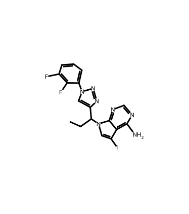 CCC(c1cn(-c2cccc(F)c2F)nn1)n1cc(I)c2c(N)ncnc21